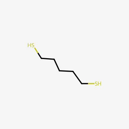 SCCCCCS